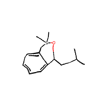 CC(C)CC1O[Si](C)(C)c2ccccc21